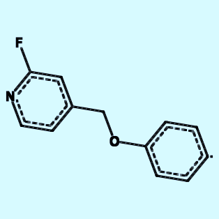 Fc1cc(COc2cc[c]cc2)ccn1